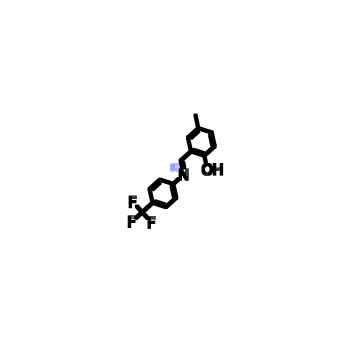 Cc1ccc(O)c(/C=N/c2ccc(C(F)(F)F)cc2)c1